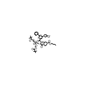 CCCCOC(=O)N1CCN(C(=O)[C@H](CCP(=O)(OCOC(=O)C(C)(C)C)OCOC(=O)C(C)(C)C)NC(=O)c2cc(N3CC[C@H](OC)C3)nc(-c3ccccc3)n2)CC1